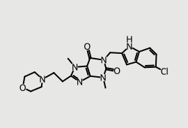 Cn1c(CCN2CCOCC2)nc2c1c(=O)n(Cc1cc3cc(Cl)ccc3[nH]1)c(=O)n2C